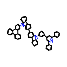 c1ccc(-c2cc(-c3cccc(-n4c5ccccc5c5ccc(-c6ccc7c8ccccc8n(-c8ccc9c%10ccccc%10c%10ccccc%10c9c8)c7c6)cc54)c3)cc(-c3ccccc3)n2)cc1